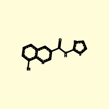 CCc1cccc2cc(C(=O)Nc3nccs3)cnc12